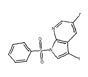 O=S(=O)(c1ccccc1)n1cc(I)c2cc(F)cnc21